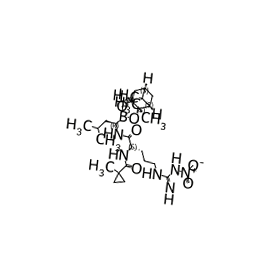 CC(C)C[C@H](NC(=O)[C@H](CCCNC(=N)N[N+](=O)[O-])NC(=O)C1(C)CC1)B1O[C@@H]2C[C@@H]3C[C@@H](C3(C)C)[C@]2(C)O1